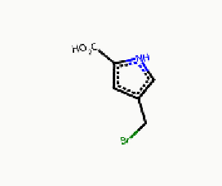 O=C(O)c1cc(CBr)c[nH]1